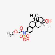 C=C1C[C@H](O)[C@@]2(C)CCC3=C(CCc4cc(N(C(=O)COC)S(=O)(=O)O)ccc43)[C@H]12